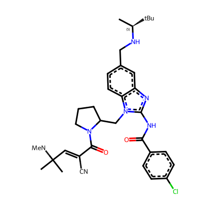 CNC(C)(C)C=C(C#N)C(=O)N1CCCC1Cn1c(NC(=O)c2ccc(Cl)cc2)nc2cc(CN[C@@H](C)C(C)(C)C)ccc21